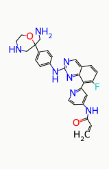 C=CC(=O)Nc1ccnc(-c2c(F)ccc3cnc(Nc4ccc(C5(CN)CNCCO5)cc4)nc23)c1